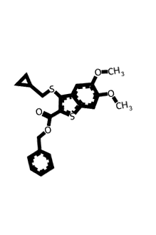 COc1cc2sc(C(=O)OCc3ccccc3)c(SCC3CC3)c2cc1OC